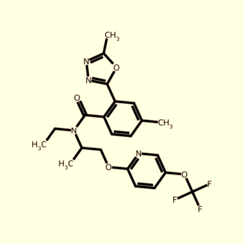 CCN(C(=O)c1ccc(C)cc1-c1nnc(C)o1)C(C)COc1ccc(OC(F)(F)F)cn1